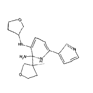 CC1(C2(N)NC(c3cccnc3)=CC=C2NC2CCOC2)CCOC1